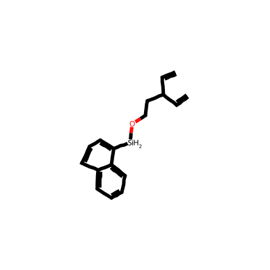 C=CC(C=C)CCO[SiH2]c1cccc2ccccc12